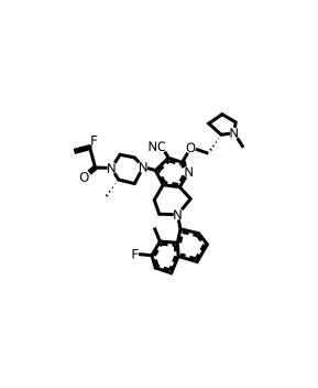 C=C(F)C(=O)N1CCN(c2c(C#N)c(OC[C@@H]3CCCN3C)nc3c2CCN(c2cccc4ccc(F)c(C)c24)C3)C[C@@H]1C